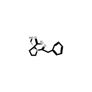 NC(=O)[C@]1(CO)CCCN1C(=O)Cc1ccccc1